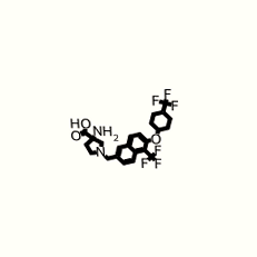 NC1(C(=O)O)CCN(Cc2ccc3c(C(F)(F)F)c(OC4CCC(C(F)(F)F)CC4)ccc3c2)C1